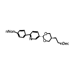 CCCCCCCCCCCC[C@H]1CO[C@H](c2ccc(-c3ccc(CCCCCCCCC)cc3)nc2)OC1